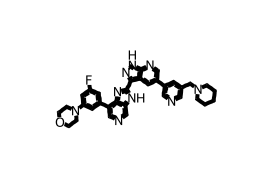 Fc1cc(-c2cncc3[nH]c(-c4n[nH]c5ncc(-c6cncc(CN7CCCCC7)c6)cc45)nc23)cc(N2CCOCC2)c1